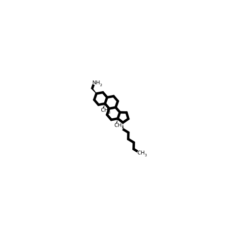 CCCCCC[C@H]1CCC2C3CCC4C[C@H](CN)CC[C@]4(C)C3CC[C@@]21C